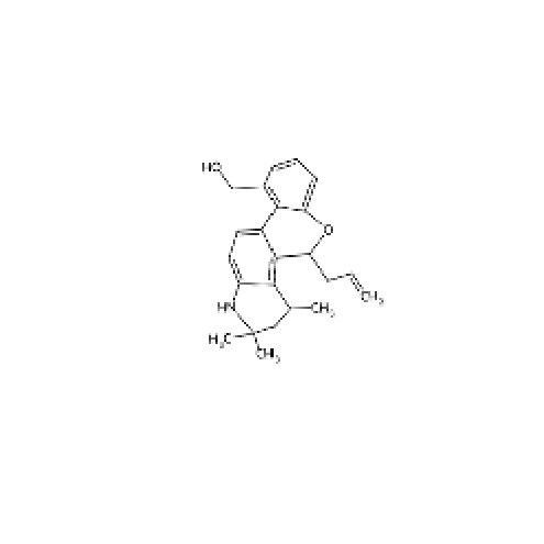 C=CCC1Oc2cccc(CO)c2-c2ccc3c(c21)C(C)CC(C)(C)N3